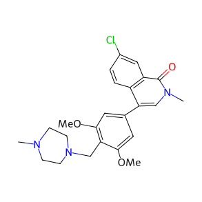 COc1cc(-c2cn(C)c(=O)c3cc(Cl)ccc23)cc(OC)c1CN1CCN(C)CC1